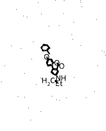 C=C(CC)Nc1ccc2c(c1)c(=O)oc1cc(OCC3=CC=CCC3)ccc12